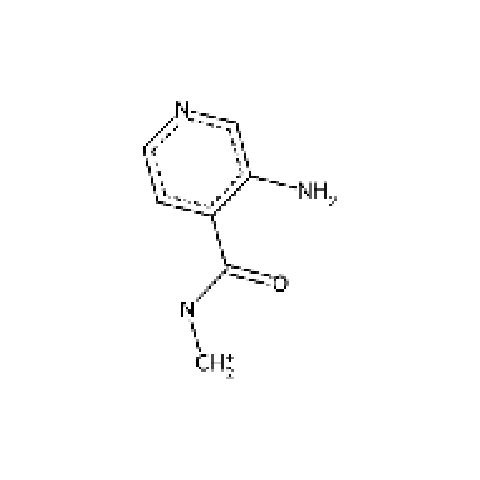 [CH2+][N-]C(=O)c1ccncc1N